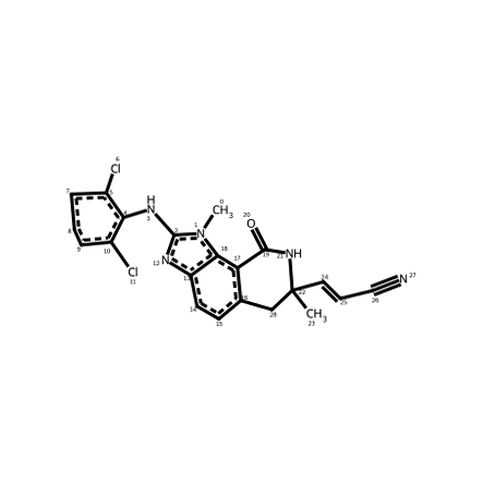 Cn1c(Nc2c(Cl)cccc2Cl)nc2ccc3c(c21)C(=O)NC(C)(C=CC#N)C3